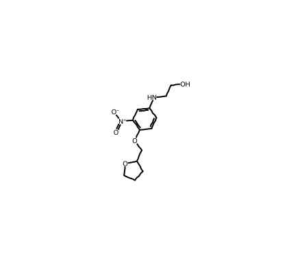 O=[N+]([O-])c1cc(NCCO)ccc1OCC1CCCO1